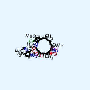 C=Cc1c(NC(=O)O[C@H]2CC(=O)N(C)c3cc(cc(OC)c3Cl)C/C(C)=C/C=C/[C@@H](OC)[C@@]3(O)C[C@H](OC(=O)N3)[C@@H](C)[C@@H]3O[C@@]23C)ccc([N+](=O)[O-])c1/N=C\C